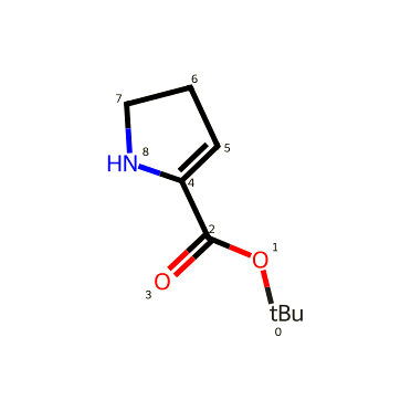 CC(C)(C)OC(=O)C1=CCCN1